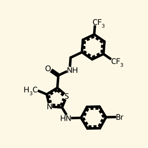 Cc1nc(Nc2ccc(Br)cc2)sc1C(=O)NCc1cc(C(F)(F)F)cc(C(F)(F)F)c1